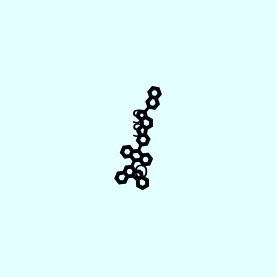 c1ccc2cc(-c3csc4c3ccc3c5ccc(-c6c7ccccc7c(-c7cc8ccccc8c8c7oc7ccccc78)c7ccccc67)cc5sc34)ccc2c1